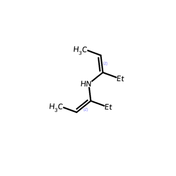 C/C=C(/CC)N/C(=C\C)CC